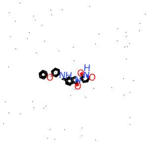 O=C1CCC(N2Cc3cc(CN[C@H]4CCC[C@@H](Oc5ccccc5)C4)ccc3C2=O)C(=O)N1